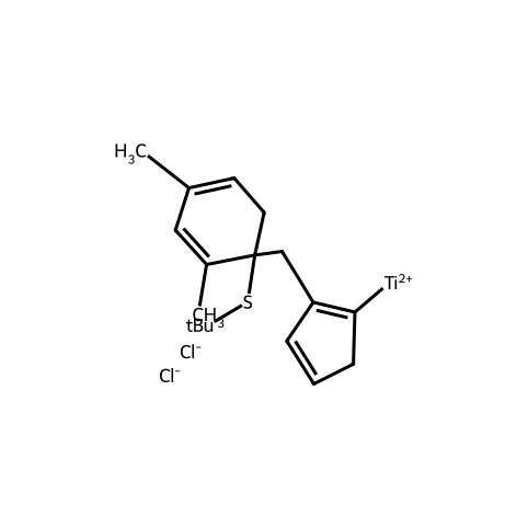 CC1=CCC(CC2=[C]([Ti+2])CC=C2)(SC(C)(C)C)C(C)=C1.[Cl-].[Cl-]